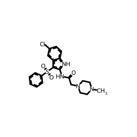 CN1CCN(CC(=O)Nc2[nH]c3ccc(Cl)cc3c2S(=O)(=O)c2ccccc2)CC1